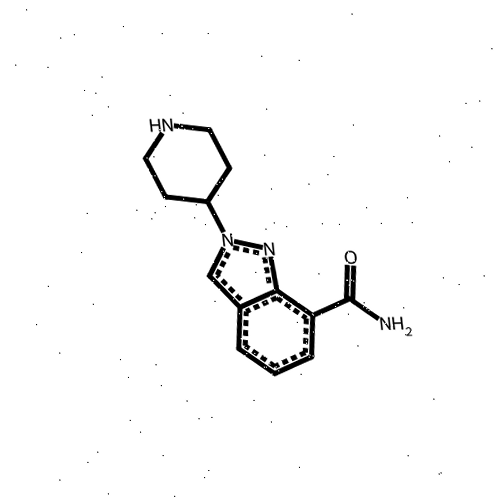 NC(=O)c1cccc2cn(C3CCNCC3)nc12